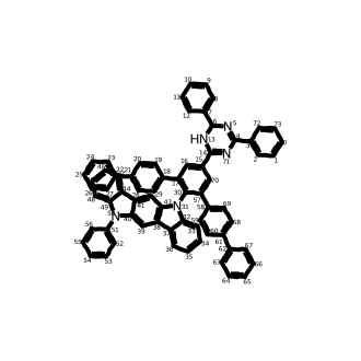 c1ccc(C2=NC(c3ccccc3)NC(c3cc(-c4ccc(-c5ccccc5)cc4)c(-n4c5ccccc5c5cc6c(cc54)c4ccccc4n6-c4ccccc4)c(-c4ccc(-c5ccccc5)cc4)c3)=N2)cc1